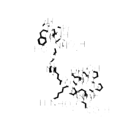 CC(=O)C[C@@H](Cc1ccc(O)cc1)C(=O)N[C@H](CC(C)C)C(=O)N[C@@H](CC(=O)O)C(=O)NCCOCCn1cc(CCC(=O)C[C@@H](CCCCN)C(=O)N2CCC[C@H]2C(=O)C[C@@H](CO)C(=O)N[C@H](CO)C(=O)N2CCC[C@H]2C(=O)N2CCC[C@H]2C(=O)C[C@@H](CCC(=O)O)C(=O)N[C@@H](CCC(=O)O)C(=O)O)nn1